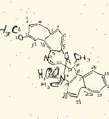 COc1ccc2ccc3c(c2c1)N=CC1(O3)C(C)c2c(ccc3ccccc23)[N+]1(C)C